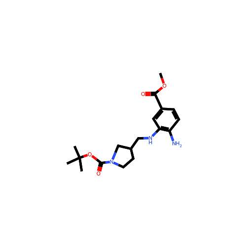 COC(=O)c1ccc(N)c(NCC2CCN(C(=O)OC(C)(C)C)C2)c1